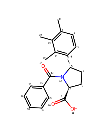 Cc1ccc([C@@H]2CC[C@@H](C(=O)O)N2C(=O)c2ccccc2)c(C)c1C